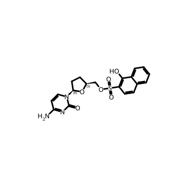 Nc1ccn([C@H]2CC[C@@H](COS(=O)(=O)c3ccc4ccccc4c3O)O2)c(=O)n1